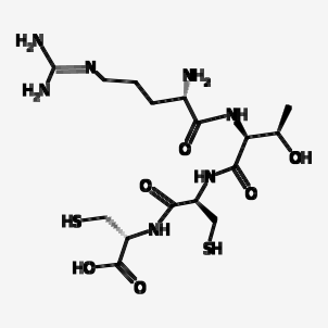 C[C@@H](O)[C@H](NC(=O)[C@@H](N)CCCN=C(N)N)C(=O)N[C@@H](CS)C(=O)N[C@@H](CS)C(=O)O